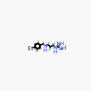 CCc1ccc(CNCC(F)CNC(=N)N)cc1